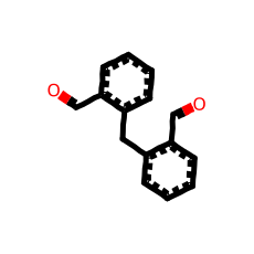 O=Cc1ccccc1Cc1ccccc1C=O